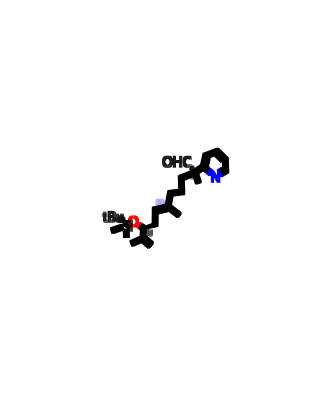 C=C(C)[C@H](C/C=C(\C)CCC[C@](C)(C=O)c1ccccn1)O[Si](C)(C)C(C)(C)C